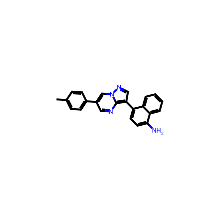 Cc1ccc(-c2cnc3c(-c4ccc(N)c5ccccc45)cnn3c2)cc1